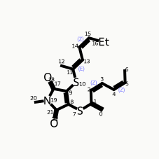 C=C(/C=C\C=C/C)SC1=C(S/C(C)=C/C=C\CC)C(=O)N(C)C1=O